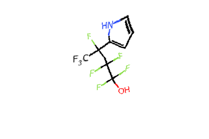 OC(F)(F)C(F)(F)C(F)(c1ccc[nH]1)C(F)(F)F